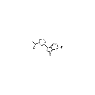 C[S+]([O-])c1cccc(-c2c[nH]c3cc(F)ccc23)c1